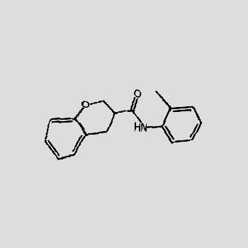 Cc1ccccc1NC(=O)C1COc2ccccc2C1